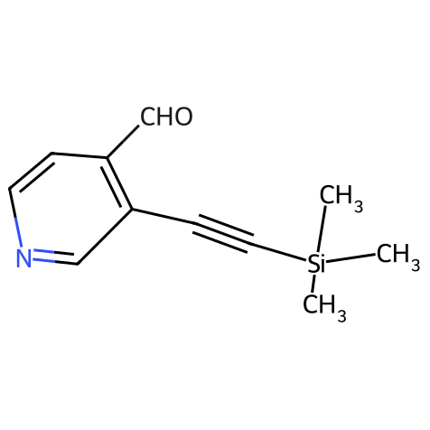 C[Si](C)(C)C#Cc1cnccc1C=O